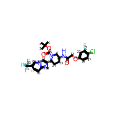 CC(C)(C)OC(=O)N1C[C@@H](NC(=O)COc2ccc(Cl)c(F)c2)CC[C@@H]1c1cn2cc(C(F)(F)F)ccc2n1